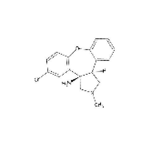 CN1C[C@@H]2c3ccccc3Oc3ccc(Cl)cc3[C@@]2(N)C1